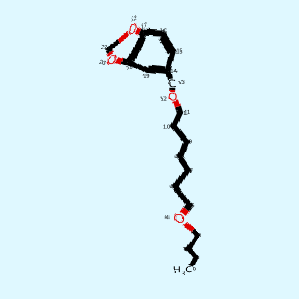 CCCCOCCCCCCCOCc1ccc2c(c1)OCO2